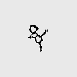 Cn1c2c(c3c(C#N)cc(C#N)cc31)C#CCC2